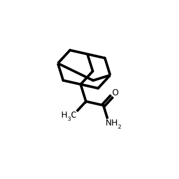 C[C](C(N)=O)C12CC3CC(CC(C3)C1)C2